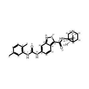 Cc1ccc(C)c(NC(=O)Nc2ccc3c(C(=O)N[C@H]4CN5CCC4CC5)snc3c2)c1